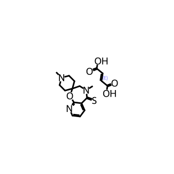 CN1CCC2(CC1)CN(C)C(=S)c1cccnc1O2.O=C(O)/C=C/C(=O)O